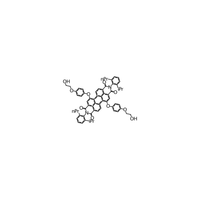 CCCc1cccc(C(C)C)c1N1C(=O)c2ccc3c4c(Oc5ccc(OCCO)cc5)cc5c6c(ccc(c7c(Oc8ccc(OCCO)cc8)cc(c2c37)C1=O)c64)C(=O)N(c1c(CCC)cccc1C(C)C)C5=O